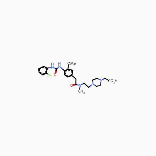 COc1cc(CC(=O)N(C)CCN2CCN(CC(=O)O)CC2)ccc1NC(=O)Nc1ccccc1F